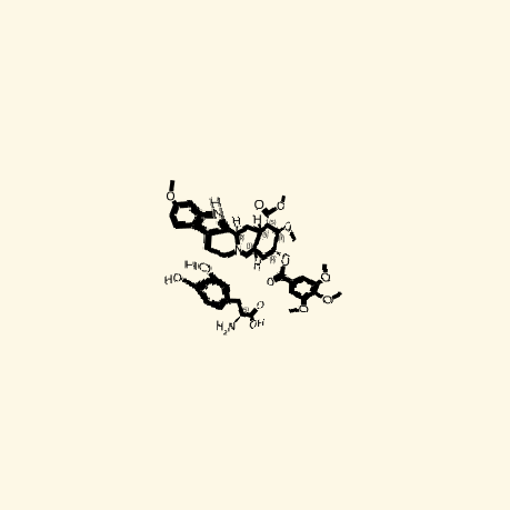 COC(=O)[C@H]1[C@H]2C[C@@H]3c4[nH]c5cc(OC)ccc5c4CCN3C[C@H]2C[C@@H](OC(=O)c2cc(OC)c(OC)c(OC)c2)[C@@H]1OC.N[C@@H](Cc1ccc(O)c(O)c1)C(=O)O